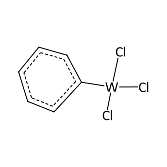 [Cl][W]([Cl])([Cl])[c]1ccccc1